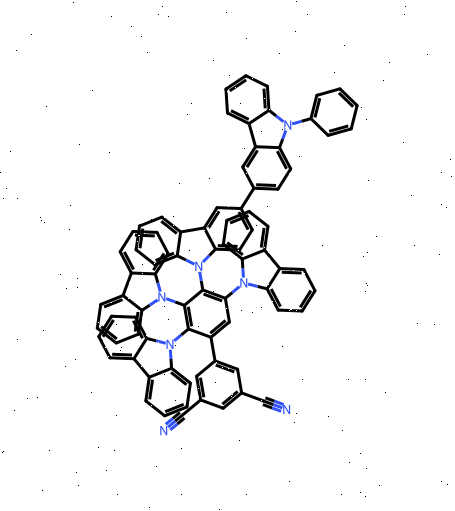 N#Cc1cc(C#N)cc(-c2cc(-n3c4ccccc4c4ccccc43)c(-n3c4ccccc4c4cc(-c5ccc6c(c5)c5ccccc5n6-c5ccccc5)ccc43)c(-n3c4ccccc4c4ccccc43)c2-n2c3ccccc3c3ccccc32)c1